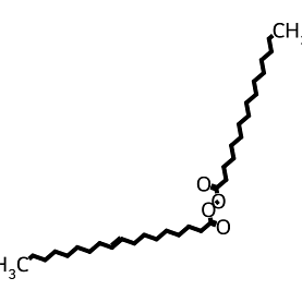 CCCCCCCCC=CCCCCCCCC(=O)OOC(=O)CCCCCCCCCCCCCCC